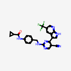 N#Cc1cnc(NCc2ccc(NC(=O)C3CC3)cc2)nc1-c1c[nH]c2ncc(C(F)(F)F)cc12